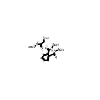 CCCCCCCCCCCC(=O)OCCCCCC.CCCCCCCCOC(=O)c1ccccc1C(=O)OCCCCCCCC